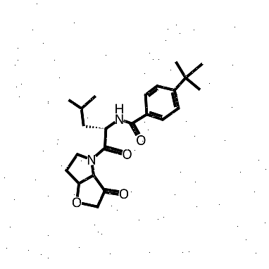 CC(C)C[C@H](NC(=O)c1ccc(C(C)(C)C)cc1)C(=O)N1CCC2OCC(=O)C21